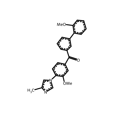 COc1ccccc1-c1cccc(C(=O)c2ccc(-n3cnc(C)c3)c(OC)c2)c1